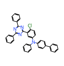 Clc1ccc(N(c2ccccc2)c2ccc(-c3ccccc3)cc2)cc1-c1nc(-c2ccccc2)nc(-c2ccccc2)n1